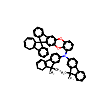 CC1(C)C2=C(C=CCC2)c2ccc(N(c3ccc4c(c3)C(C)(C)c3ccccc3-4)c3cccc4c3Oc3cc5c(cc3O4)-c3ccccc3C53C4=C(CC=CC=C4)c4ccccc43)cc21